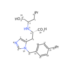 CC(C)CC(N[C@@H](Cc1cncn1Cc1ccc(C(C)C)cc1)C(=O)O)C(=O)O